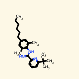 CCCCCCc1cc(C)c(NC(=N)c2cccc(C(C)(C)C)n2)c(C)c1